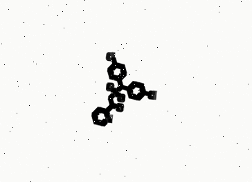 O=C(CS(=O)(=O)C(c1ccc(Cl)cc1)c1ccc(Cl)cc1)c1ccccn1